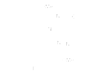 COCc1nc(Cl)c2cnn(-c3ccc(F)cc3OC)c2n1